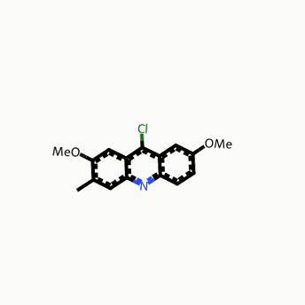 COc1ccc2nc3cc(C)c(OC)cc3c(Cl)c2c1